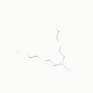 CCCCCCCCN(CCOCCO)CCOCCOC